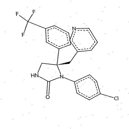 O=C1NC[C@](Cc2cccnc2)(c2cccc(C(F)(F)F)c2)N1c1ccc(Cl)cc1